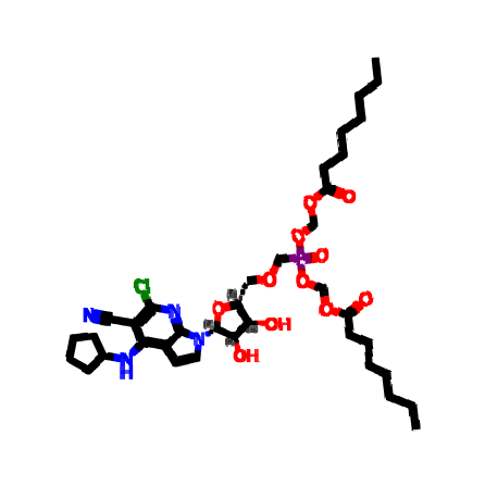 CCCCCCCC(=O)OCOP(=O)(COC[C@H]1O[C@@H](n2ccc3c(NC4CCCC4)c(C#N)c(Cl)nc32)[C@H](O)[C@@H]1O)OCOC(=O)CCCCCCC